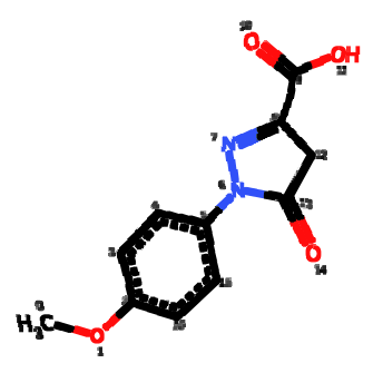 COc1ccc(N2N=C(C(=O)O)CC2=O)cc1